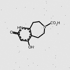 O=C(O)N1CCc2[nH]c(=O)cc(O)c2CC1